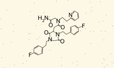 NC(=O)CN(CCc1ccccn1)C(=O)CC1C(=O)N(CCc2ccc(F)cc2)CC(=O)N1CCc1ccc(F)cc1